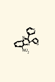 O=[N+]([O-])c1cccc2nc(-c3ccsc3)c(-c3ccsc3)nc12